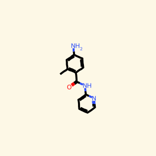 Cc1cc(N)ccc1C(=O)Nc1ccccn1